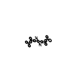 N#Cc1cc(-c2ccc(-n3c4ccccc4c4cc(N(c5ccccc5)c5ccccc5)ccc43)cc2)c(C#N)cc1-c1ccc(-n2c3ccccc3c3cc(N(C4=CCC=CC=C4)c4ccccc4)ccc32)cc1